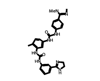 C/N=C(\NC)c1ccc(NC(=O)Nc2ccc(C)c(NC(=O)Nc3cccc(C4=NCCN4)c3)c2)cc1